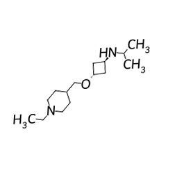 CCN1CCC(CO[C@H]2C[C@H](NC(C)C)C2)CC1